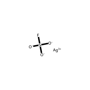 [Ag+3].[O-][Si]([O-])([O-])F